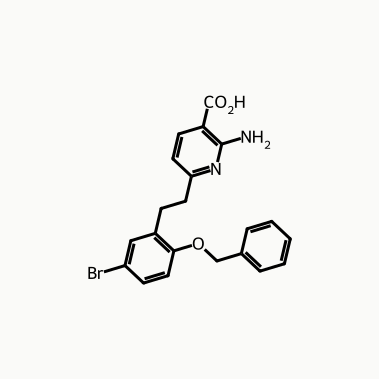 Nc1nc(CCc2cc(Br)ccc2OCc2ccccc2)ccc1C(=O)O